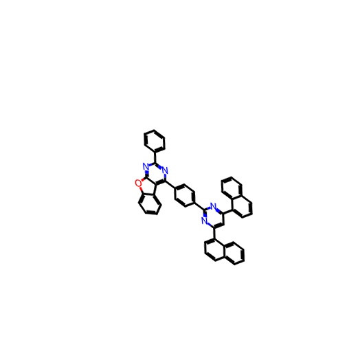 c1ccc(-c2nc(-c3ccc(-c4nc(-c5cccc6ccccc56)cc(-c5cccc6ccccc56)n4)cc3)c3c(n2)oc2ccccc23)cc1